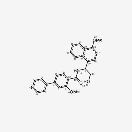 COc1cc(-c2ccncc2)ccc1C(=O)NC(CO)c1ccc(OC)c2ccccc12